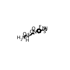 NC(=O)NSCC1CN(c2ccc(-c3nncs3)c(F)c2)C(=O)O1